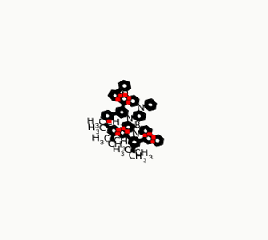 CC(C)(C)c1cc(-c2cc3c4c(c2)N(c2c(-c5ccccc5)cc(C(C)(C)C)cc2-c2ccccc2)c2cc(-c5ccccc5)ccc2B4c2ccc(N(c4ccccc4)c4ccc(-n5c6ccccc6c6ccccc65)cc4)cc2N3c2cc(-c3ccccc3)cc(-c3ccccc3)c2)cc(C(C)(C)C)c1